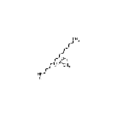 CCCCCCCCCCCCCCPCl.CN(C)C